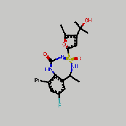 Cc1oc(S2(=O)=NC(=O)Nc3c(C(C)C)cc(F)cc3C(C)N2)cc1C(C)(C)O